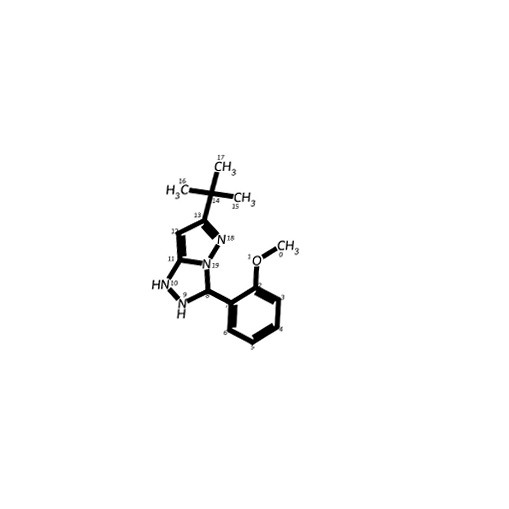 COc1ccccc1C1NNc2cc(C(C)(C)C)nn21